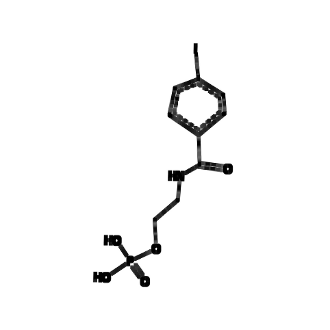 O=C(NCCOP(=O)(O)O)c1ccc(I)cc1